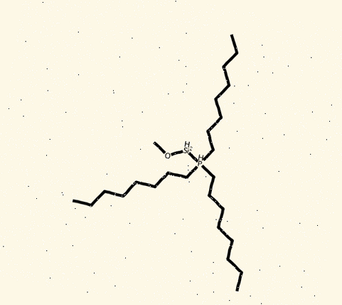 CCCCCCCC[PH](CCCCCCCC)(CCCCCCCC)[SiH2]OC